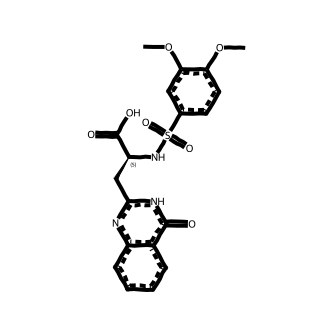 COc1ccc(S(=O)(=O)N[C@@H](Cc2nc3ccccc3c(=O)[nH]2)C(=O)O)cc1OC